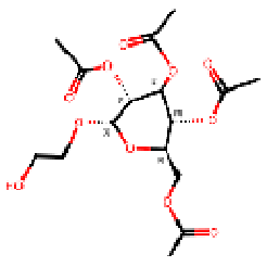 CC(=O)OC[C@H]1O[C@H](OCCO)[C@H](OC(C)=O)[C@@H](OC(C)=O)[C@@H]1OC(C)=O